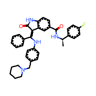 C[C@@H](NC(=O)c1ccc2c(c1)C(=C(Nc1ccc(CN3CCCCC3)cc1)c1ccccc1)C(=O)N2)c1ccc(F)cc1